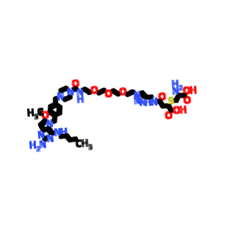 CCCCCNc1nc(N)nc2ccn(Cc3ccc(CN4CCN(C(=O)NCCOCCOCCOCCn5cc(CNC(=O)CC(SCC(N)C(=O)O)C(=O)O)nn5)CC4)cc3OC)c12